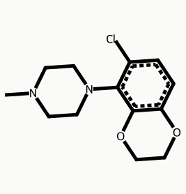 CN1CCN(c2c(Cl)ccc3c2OCCO3)CC1